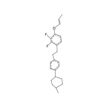 C/C=C/Oc1ccc(CCc2ccc(C3CCC(C)CC3)cc2)c(F)c1F